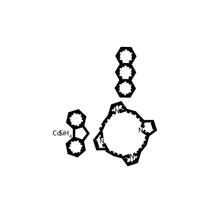 C1=Cc2cc3ccc(cc4nc(cc5ccc(cc1n2)[nH]5)C=C4)[nH]3.[Cd].[SiH4].c1ccc2c(c1)Cc1ccccc1-2.c1ccc2cc3ccccc3cc2c1